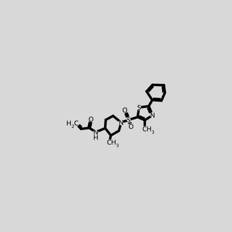 C=CC(=O)NC1CCN(S(=O)(=O)c2sc(-c3ccccc3)nc2C)CC1C